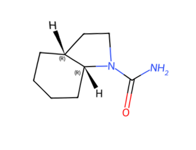 NC(=O)N1CC[C@H]2CCCC[C@H]21